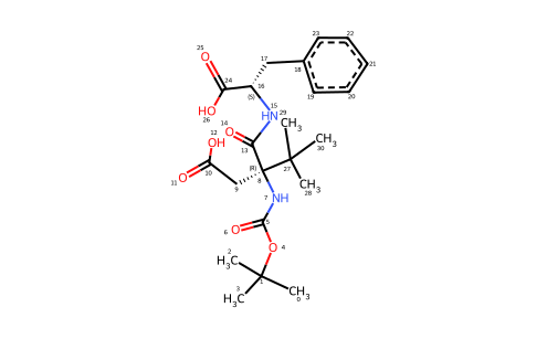 CC(C)(C)OC(=O)N[C@@](CC(=O)O)(C(=O)N[C@@H](Cc1ccccc1)C(=O)O)C(C)(C)C